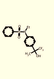 CCN(c1ccc(C(C)(O)C(F)(F)F)cc1)S(=O)(=O)c1ccccc1